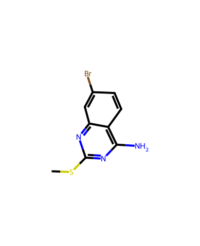 CSc1nc(N)c2ccc(Br)cc2n1